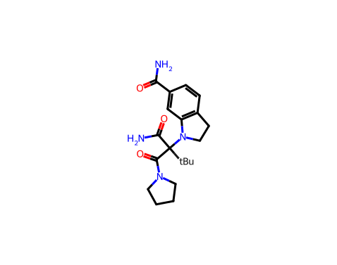 CC(C)(C)C(C(N)=O)(C(=O)N1CCCC1)N1CCc2ccc(C(N)=O)cc21